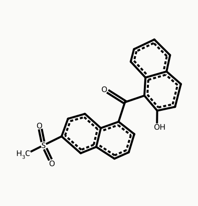 CS(=O)(=O)c1ccc2c(C(=O)c3c(O)ccc4ccccc34)cccc2c1